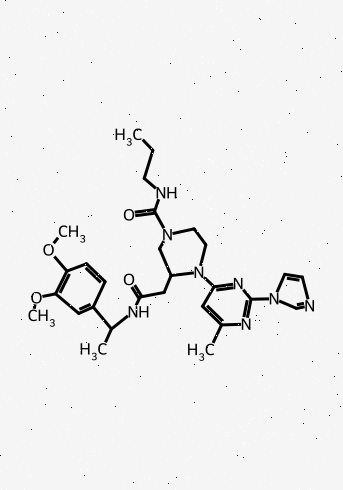 CCCNC(=O)N1CCN(c2cc(C)nc(-n3ccnc3)n2)C(CC(=O)NC(C)c2ccc(OC)c(OC)c2)C1